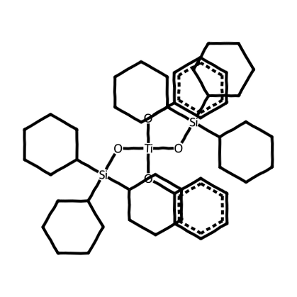 c1ccc([O][Ti]([O]c2ccccc2)([O][Si](C2CCCCC2)(C2CCCCC2)C2CCCCC2)[O][Si](C2CCCCC2)(C2CCCCC2)C2CCCCC2)cc1